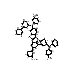 CCCCc1ccc(N(c2ccccc2)c2ccc3c(c2)c2cc(-c4cccc(CCCC)c4)cc4c5sc6cc(N(c7cccc(CCCC)c7)c7cccc(-c8ccccc8)c7)ccc6c5n3c24)cc1